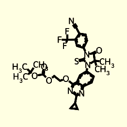 CC(C)(C)OC(=O)OCCOc1nc(C2CC2)nc2ccc(N3C(=S)N(c4ccc(C#N)c(C(F)(F)F)c4)C(=O)C3(C)C)cc12